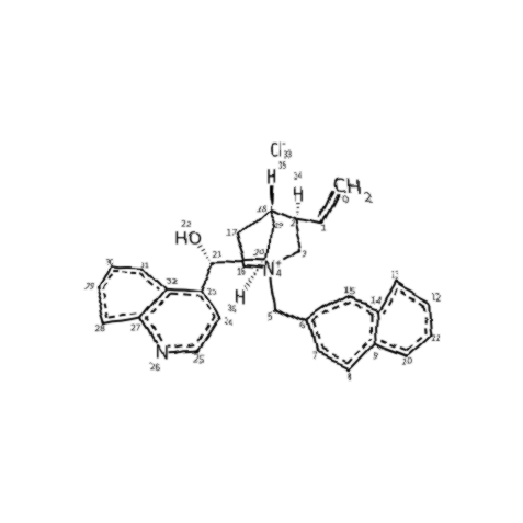 C=C[C@H]1C[N+]2(Cc3ccc4ccccc4c3)CC[C@H]1C[C@@H]2[C@@H](O)c1ccnc2ccccc12.[Cl-]